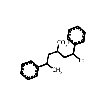 CCC(CC(CC(C)c1ccccc1)C(=O)O)c1ccccc1